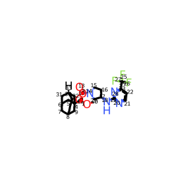 COC(=O)C12CC3CC(C1)C(OC(=O)N1CCC(Nc4nccc(C(F)(F)F)n4)C1)[C@H](C3)C2